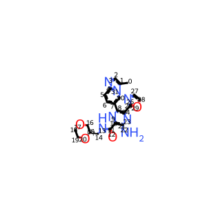 Cc1cnc2ccc(-c3nc(C(=O)NC[C@@H]4COCCO4)c(N)nc3-c3ncco3)cn12